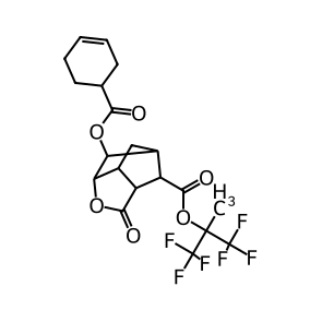 CC(OC(=O)C1C2CC3C(OC(=O)C31)C2OC(=O)C1CC=CCC1)(C(F)(F)F)C(F)(F)F